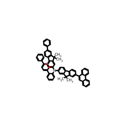 CC1(C)c2cc(-c3ccccc3)ccc2-c2ccc(N(c3ccc4c(c3)C(C)(C)c3cc(-c5cc6ccccc6c6ccccc56)ccc3-4)c3ccccc3-c3ccc(-c4ccccc4)cc3)cc21